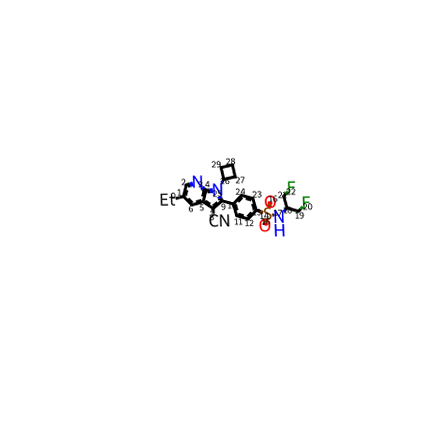 CCc1cnc2c(c1)c(C#N)c(-c1ccc(S(=O)(=O)NC(CF)CF)cc1)n2C1CCC1